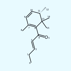 CC/C=C/C(=O)C1=C(C)C=C[C@H](C)C1(C)C